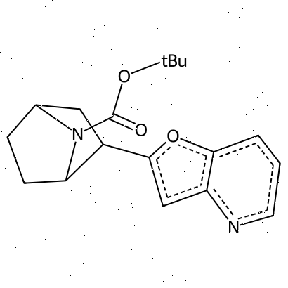 CC(C)(C)OC(=O)N1C2CCC1C(c1cc3ncccc3o1)C2